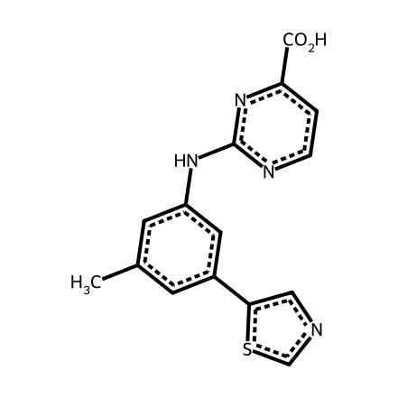 Cc1cc(Nc2nccc(C(=O)O)n2)cc(-c2cncs2)c1